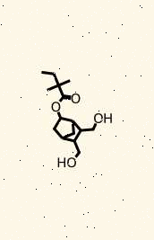 CCC(C)(C)C(=O)OC1CC2CC1C(CO)C2CO